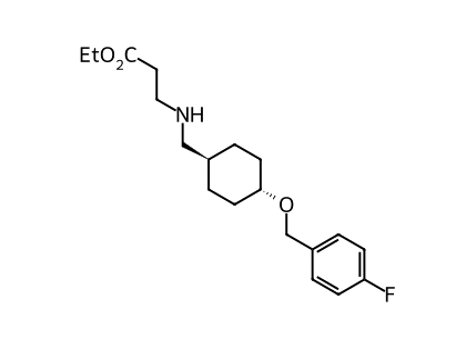 CCOC(=O)CCNC[C@H]1CC[C@H](OCc2ccc(F)cc2)CC1